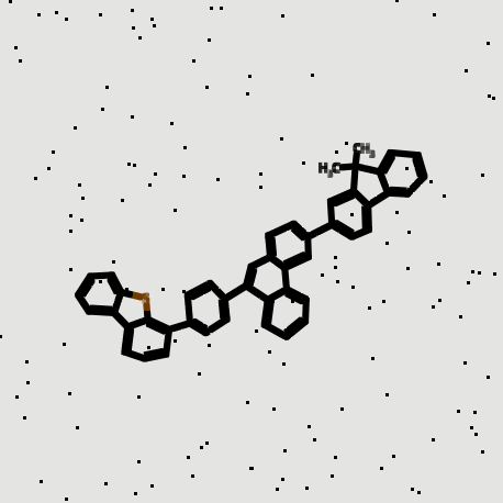 CC1(C)c2ccccc2-c2ccc(-c3ccc4cc(-c5ccc(-c6cccc7c6sc6ccccc67)cc5)c5ccccc5c4c3)cc21